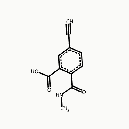 C#Cc1ccc(C(=O)NC)c(C(=O)O)c1